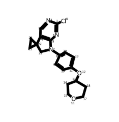 Clc1ncc2c(n1)N(c1ccc(OC3CCOCC3)cc1)CC21CC1